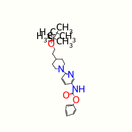 CC(C)(C)[Si](C)(C)OCCC1CCN(c2ccc(NC(=O)Oc3ccccc3)cn2)CC1